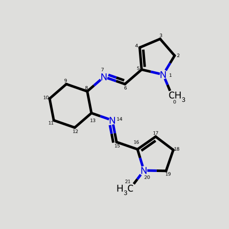 CN1CCC=C1C=NC1CCCCC1N=CC1=CCCN1C